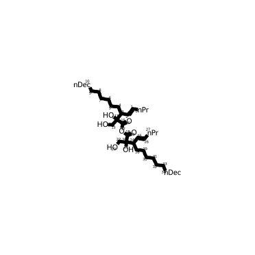 CCC/C=C/C(CCCCCCCCCCCCCCCC)C(O)(CO)C(=O)OC(=O)C(O)(CO)C(/C=C/CCC)CCCCCCCCCCCCCCCC